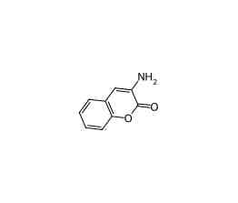 Nc1cc2ccc[c]c2oc1=O